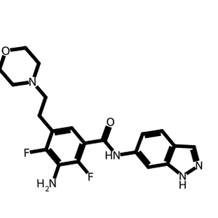 Nc1c(F)c(CCN2CCOCC2)cc(C(=O)Nc2ccc3cn[nH]c3c2)c1F